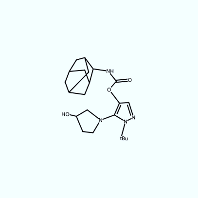 CC(C)(C)n1ncc(OC(=O)NC2C3CC4CC(C3)CC2C4)c1N1CCC(O)C1